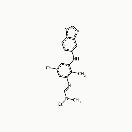 CCN(C)C=Nc1cc(Cl)cc(Nc2ccc3ncsc3c2)c1C